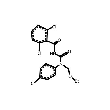 CCOCN(C(=O)NC(=O)c1c(Cl)cccc1Cl)c1ccc(Cl)cc1